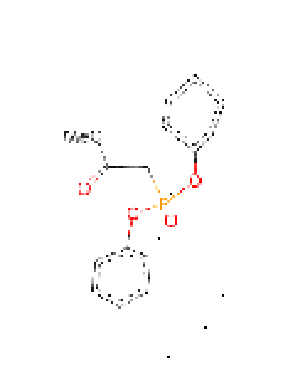 COC(=O)CP(=O)(Oc1ccccc1)Oc1ccccc1